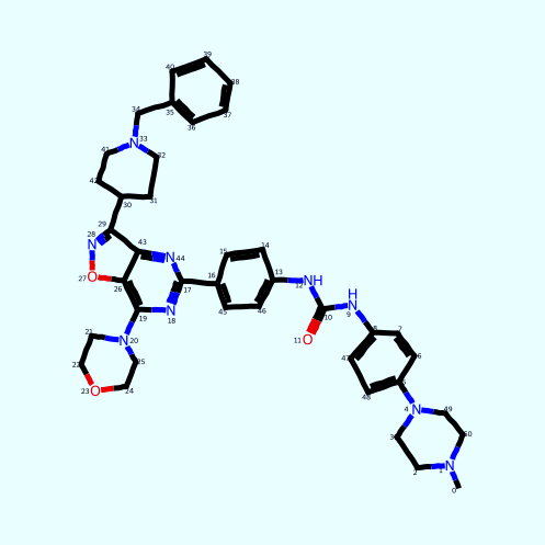 CN1CCN(c2ccc(NC(=O)Nc3ccc(-c4nc(N5CCOCC5)c5onc(C6CCN(Cc7ccccc7)CC6)c5n4)cc3)cc2)CC1